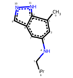 Cc1cc(NCC(C)C)cc2cn[nH]c12